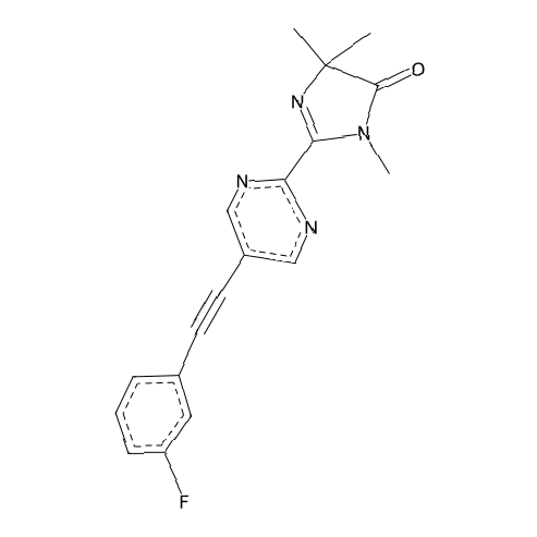 CN1C(=O)C(C)(C)N=C1c1ncc(C#Cc2cccc(F)c2)cn1